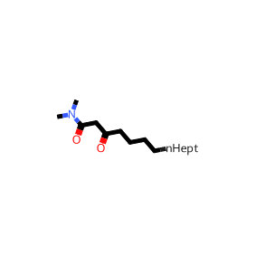 CCCCCCCCCCCC(=O)CC(=O)N(C)C